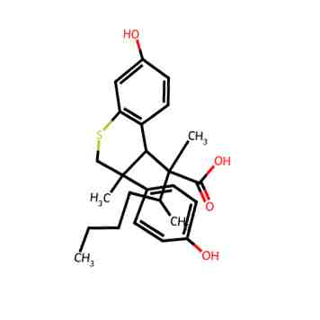 CCCCC(C)C(C)(C(=O)O)C1c2ccc(O)cc2SCC1(C)c1ccc(O)cc1